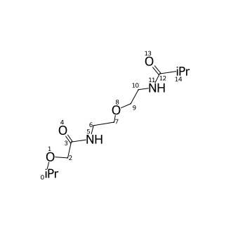 CC(C)OCC(=O)NCCOCCNC(=O)C(C)C